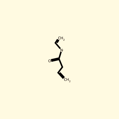 C=CCC(=O)[N]C=C